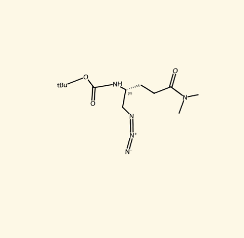 CN(C)C(=O)CC[C@H](CN=[N+]=[N-])NC(=O)OC(C)(C)C